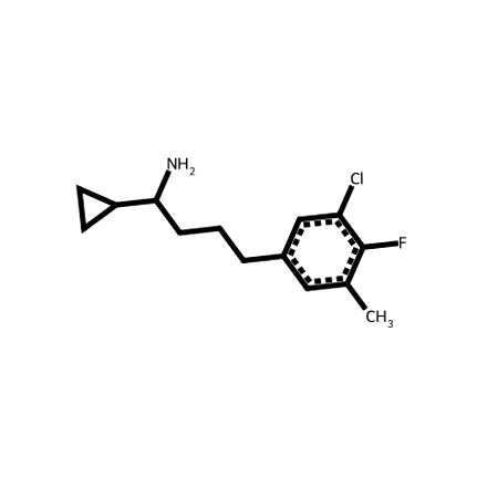 Cc1cc(CCCC(N)C2CC2)cc(Cl)c1F